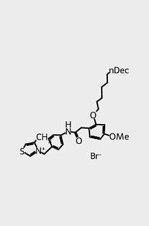 CCCCCCCCCCCCCCCCOc1cc(OC)ccc1CC(=O)Nc1ccc(C[n+]2cscc2C)cc1.[Br-]